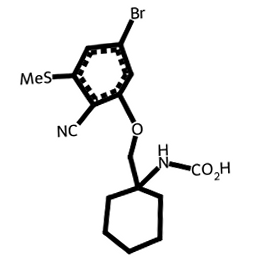 CSc1cc(Br)cc(OCC2(NC(=O)O)CCCCC2)c1C#N